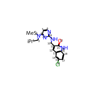 CSN(CC(C)C)c1ccnc(NCc2cc3cc(Cl)ccc3[nH]c2=O)n1